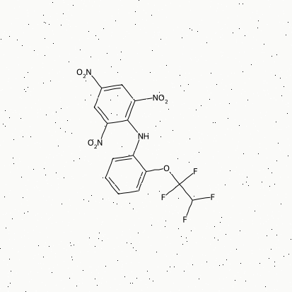 O=[N+]([O-])c1cc([N+](=O)[O-])c(Nc2ccccc2OC(F)(F)C(F)F)c([N+](=O)[O-])c1